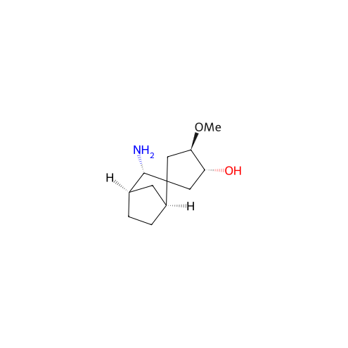 CO[C@@H]1CC2(C[C@H]1O)[C@H]1CC[C@H](C1)[C@@H]2N